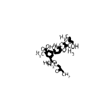 C=CC(=O)CC.CC(=O)C(C)O.CC1(C(=O)O)C=CC=C(C(=O)O)C1.CCCCO.c1ccncc1